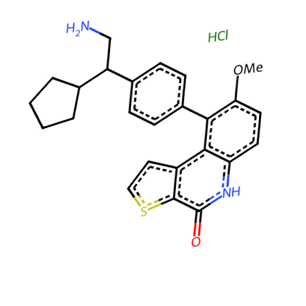 COc1ccc2[nH]c(=O)c3sccc3c2c1-c1ccc(C(CN)C2CCCC2)cc1.Cl